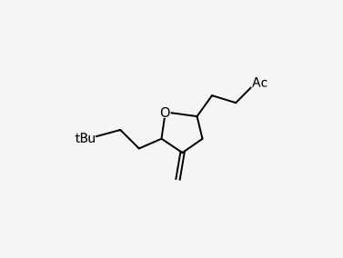 C=C1CC(CCC(C)=O)OC1CCC(C)(C)C